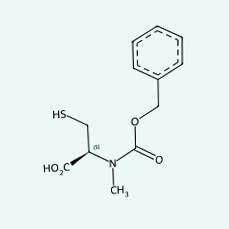 CN(C(=O)OCc1ccccc1)[C@H](CS)C(=O)O